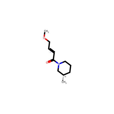 COC/C=C/C(=O)N1CCC[C@H](C)C1